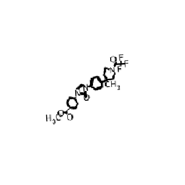 COC(=O)[C@H]1CC[C@H](n2ccn(-c3ccc(C4(C)CCN(C(=O)C(F)(F)F)CC4)cc3)c2=O)CC1